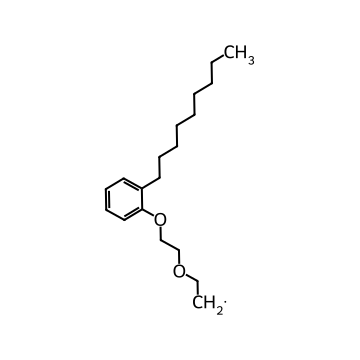 [CH2]COCCOc1ccccc1CCCCCCCCC